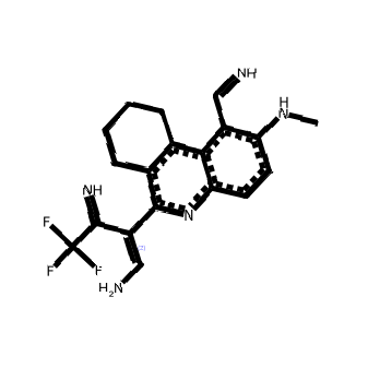 CNc1ccc2nc(/C(=C/N)C(=N)C(F)(F)F)c3c(c2c1C=N)CCCC3